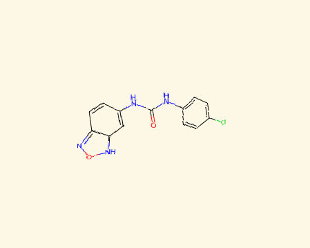 O=C(NC1=CC2NON=C2C=C1)Nc1ccc(Cl)cc1